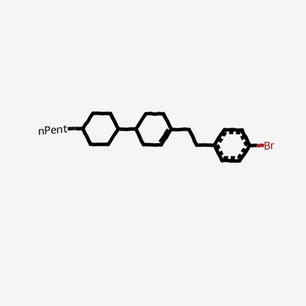 CCCCCC1CCC(C2CC=C(CCc3ccc(Br)cc3)CC2)CC1